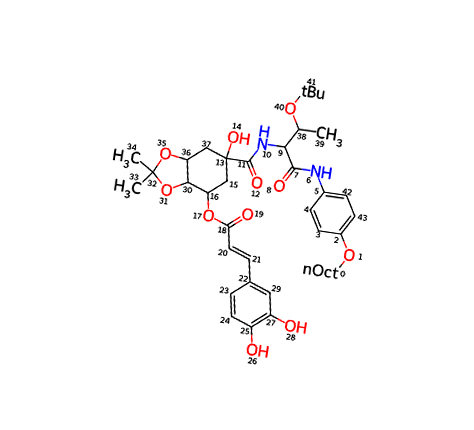 CCCCCCCCOc1ccc(NC(=O)C(NC(=O)C2(O)CC(OC(=O)/C=C/c3ccc(O)c(O)c3)C3OC(C)(C)OC3C2)C(C)OC(C)(C)C)cc1